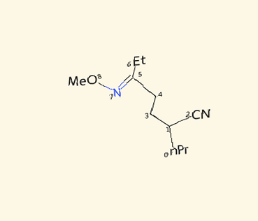 CCCC(C#N)CCC(CC)=NOC